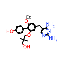 CCOc1cc(Cc2cnc(N)nc2N)cc(OCC(C)(C)CO)c1-c1ccc(O)cc1